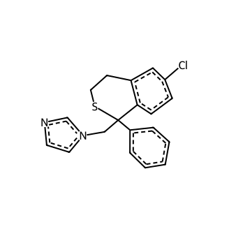 Clc1ccc2c(c1)CCSC2(Cn1ccnc1)c1ccccc1